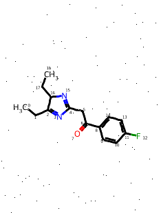 CCC1=NC(CC(=O)c2ccc(F)cc2)=NC1CC